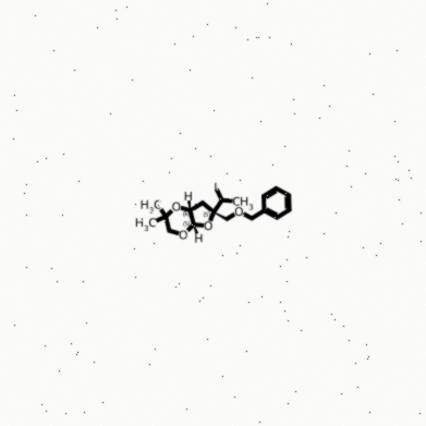 CC(I)[C@@]1(COCc2ccccc2)C[C@H]2OC(C)(C)CO[C@H]2O1